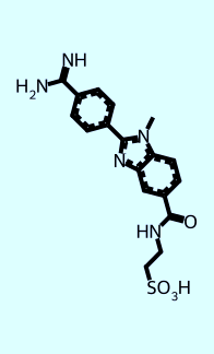 Cn1c(-c2ccc(C(=N)N)cc2)nc2cc(C(=O)NCCS(=O)(=O)O)ccc21